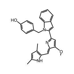 COC1=CC(c2cc3ccccc3n2Cc2ccc(O)cc2)=NC1=Cc1[nH]c(C)cc1C